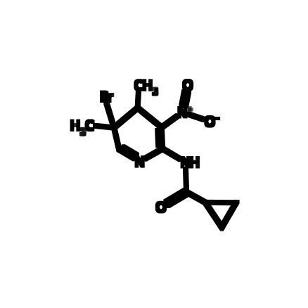 CC1C([N+](=O)[O-])=C(NC(=O)C2CC2)N=CC1(C)Br